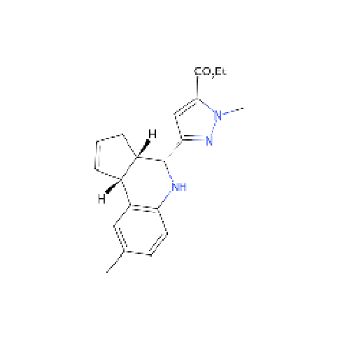 CCOC(=O)c1cc([C@@H]2Nc3ccc(C)cc3[C@@H]3C=CC[C@@H]32)nn1C